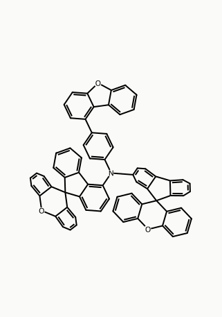 c1ccc2c(c1)Oc1ccccc1C21c2ccccc2-c2ccc(N(c3ccc(-c4cccc5oc6ccccc6c45)cc3)c3cccc4c3-c3ccccc3C43c4ccccc4Oc4ccccc43)cc21